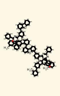 Cc1cccc(-c2ccc3c4c(-c5cccc6oc7c(-c8ccc(-n9c%10ccc(-c%11ccccc%11C)cc%10c%10cc(-c%11ccccc%11C)ccc%109)c(-c9nc(-c%10ccccc%10)nc(-c%10ccccc%10)n9)c8)cccc7c56)cccc4n(-c4ccc(-c5cccc6c5oc5ccccc56)cc4-c4nc(-c5ccccc5)nc(-c5ccccc5)n4)c3c2)c1